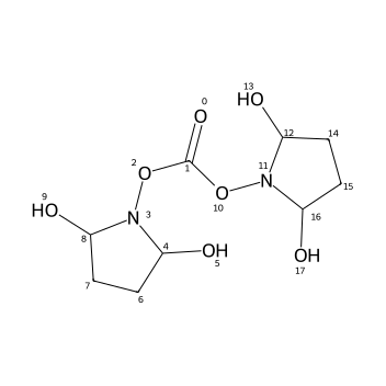 O=C(ON1C(O)CCC1O)ON1C(O)CCC1O